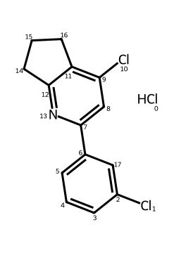 Cl.Clc1cccc(-c2cc(Cl)c3c(n2)CCC3)c1